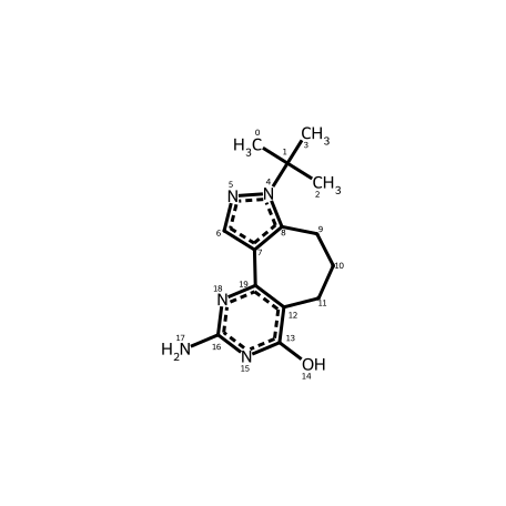 CC(C)(C)n1ncc2c1CCCc1c(O)nc(N)nc1-2